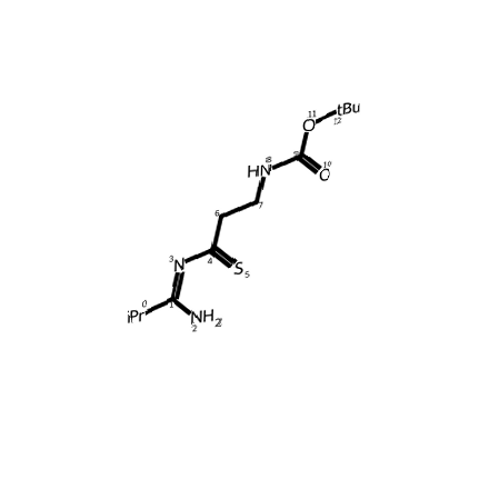 CC(C)/C(N)=N/C(=S)CCNC(=O)OC(C)(C)C